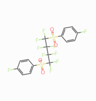 O=S(=O)(c1ccc(F)cc1)C(F)(F)C(F)(F)C(F)(F)C(F)(F)S(=O)(=O)c1ccc(F)cc1